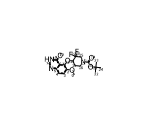 COc1ccc2nc[nH]c(=O)c2c1OC1CCN(C(=O)OC(C)(C)C)CC1(F)F